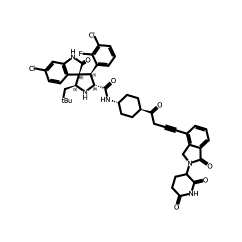 CC(C)(C)C[C@@H]1N[C@@H](C(=O)N[C@H]2CC[C@H](C(=O)CC#Cc3cccc4c3CN(C3CCC(=O)NC3=O)C4=O)CC2)[C@H](c2cccc(Cl)c2F)[C@]12C(=O)Nc1cc(Cl)ccc12